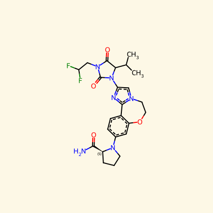 CC(C)C1C(=O)N(CC(F)F)C(=O)N1c1cn2c(n1)-c1ccc(N3CCC[C@H]3C(N)=O)cc1OCC2